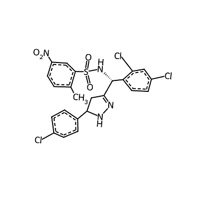 Cc1ccc([N+](=O)[O-])cc1S(=O)(=O)N[C@@H](C1=NNC(c2ccc(Cl)cc2)C1)c1ccc(Cl)cc1Cl